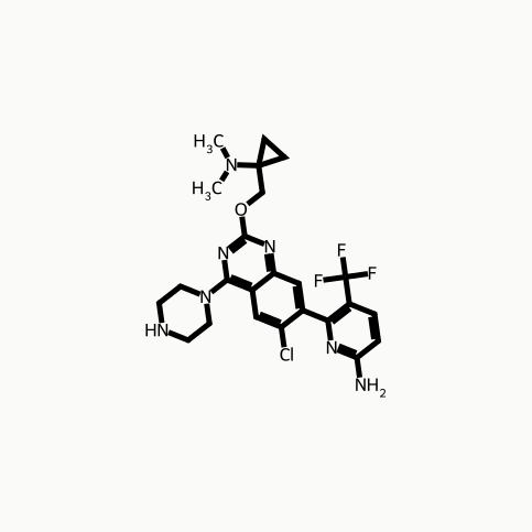 CN(C)C1(COc2nc(N3CCNCC3)c3cc(Cl)c(-c4nc(N)ccc4C(F)(F)F)cc3n2)CC1